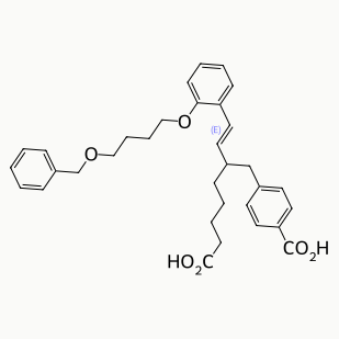 O=C(O)CCCCC(/C=C/c1ccccc1OCCCCOCc1ccccc1)Cc1ccc(C(=O)O)cc1